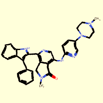 CN1CCN(c2ccc(Nc3cnc(-c4[nH]c5ccccc5c4-c4ccccc4)c4c3C(=O)N(C)C4)nc2)CC1